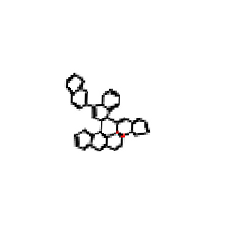 c1ccc2cc(-c3cc(-c4c5ccccc5cc5ccccc45)c(-c4ccc5ccccc5c4)c4ccccc34)ccc2c1